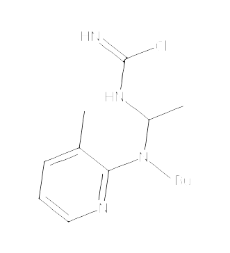 CCC(C)N(c1ncccc1C)C(C)NC(=N)Cl